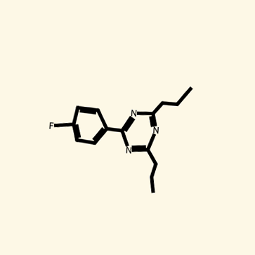 CCCc1nc(CCC)nc(-c2ccc(F)cc2)n1